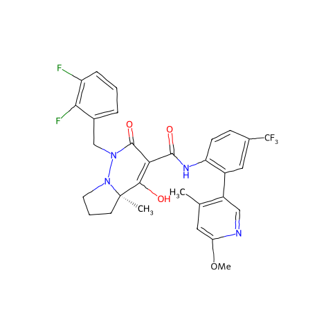 COc1cc(C)c(-c2cc(C(F)(F)F)ccc2NC(=O)C2=C(O)[C@@]3(C)CCCN3N(Cc3cccc(F)c3F)C2=O)cn1